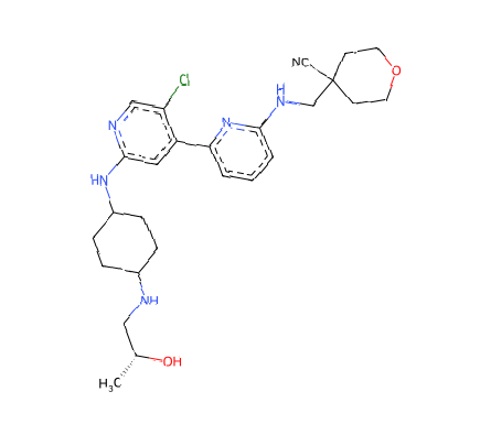 C[C@@H](O)CNC1CCC(Nc2cc(-c3cccc(NCC4(C#N)CCOCC4)n3)c(Cl)cn2)CC1